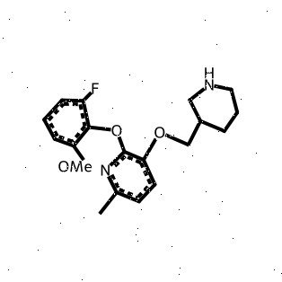 COc1cccc(F)c1Oc1nc(C)ccc1OCC1CCCNC1